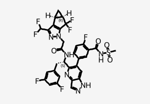 CS(=O)(=O)NC(=O)c1cc(-c2cc3[nH]ncc3nc2[C@H](Cc2cc(F)cc(F)c2)NC(=O)Cn2nc(C(F)F)c3c2C(F)(F)[C@@H]2C[C@H]32)ccc1F